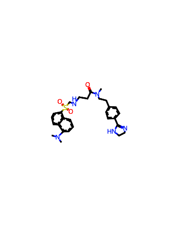 CN(CCc1ccc(C2=NCCN2)cc1)C(=O)CCNCS(=O)(=O)c1cccc2c(N(C)C)cccc12